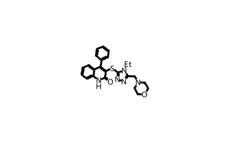 CCn1c(CN2CCOCC2)nnc1Sc1c(-c2ccccc2)c2ccccc2[nH]c1=O